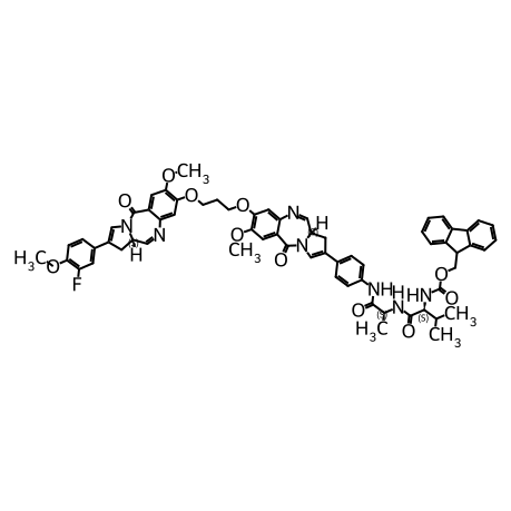 COc1ccc(C2=CN3C(=O)c4cc(OC)c(OCCCOc5cc6c(cc5OC)C(=O)N5C=C(c7ccc(NC(=O)[C@H](C)NC(=O)[C@@H](NC(=O)OCC8c9ccccc9-c9ccccc98)C(C)C)cc7)C[C@H]5C=N6)cc4N=C[C@@H]3C2)cc1F